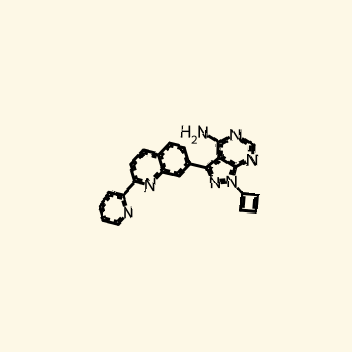 Nc1ncnc2c1c(-c1ccc3ccc(-c4ccccn4)nc3c1)nn2C1=CC=C1